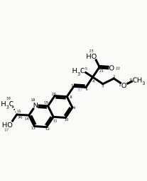 COCCC(C)(/C=C/c1ccc2ccc([C@@H](C)O)nc2c1)C(=O)O